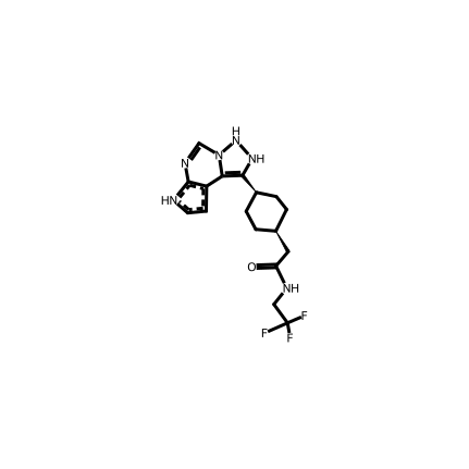 O=C(C[C@H]1CC[C@@H](C2=C3c4cc[nH]c4N=CN3NN2)CC1)NCC(F)(F)F